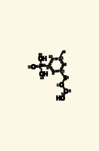 Cc1cc(SOOO)cc(P(=O)(O)O)c1